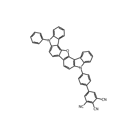 N#Cc1cc(-c2ccc(-n3c4ccccc4c4c5oc6c(ccc7c6c6ccccc6n7-c6ccccc6)c5ccc43)cc2)cc(C#N)c1C#N